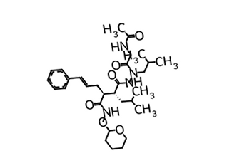 CC(=O)NCC(=O)N(CC(C)C)NC(=O)[C@H](CC(C)C)[C@H](CC=Cc1ccccc1)C(=O)NOC1CCCCO1